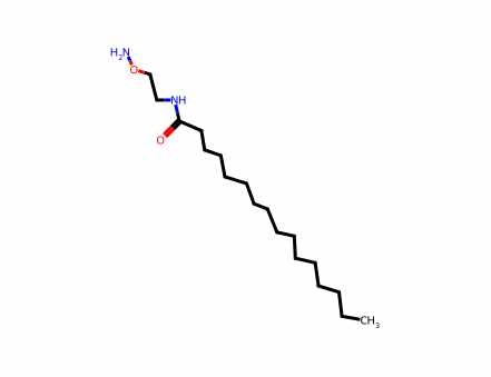 CCCCCCCCCCCCCCCC(=O)NCCON